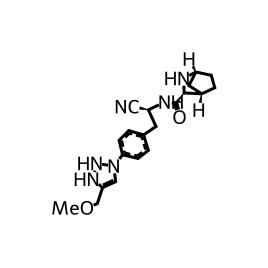 COCC1=CN(c2ccc(C[C@@H](C#N)NC(=O)[C@H]3N[C@@H]4CC[C@H]3C4)cc2)NN1